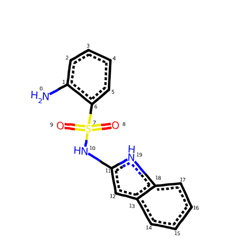 Nc1ccccc1S(=O)(=O)Nc1cc2ccccc2[nH]1